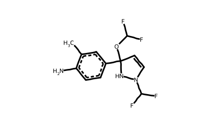 Cc1cc(C2(OC(F)F)C=CN(C(F)F)N2)ccc1N